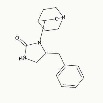 O=C1NCC(Cc2ccccc2)N1C1CN2CCC1CC2